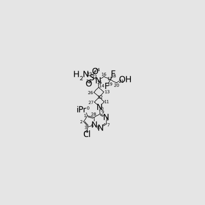 CC(C)c1cc(Cl)n2ncnc(N3CC4(CC(N(CC(F)(F)CO)S(N)(=O)=O)C4)C3)c12